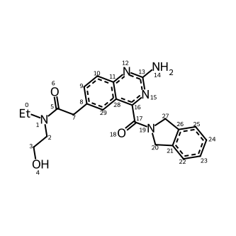 CCN(CCO)C(=O)Cc1ccc2nc(N)nc(C(=O)N3Cc4ccccc4C3)c2c1